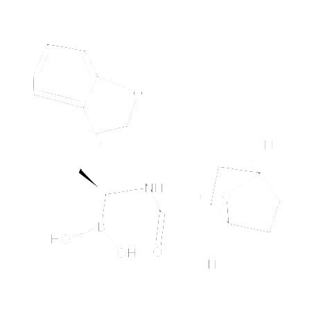 O=C(N[C@H](C[C@H]1COc2ccccc21)B(O)O)[C@@H]1C[C@H]2CC[C@@H]1O2